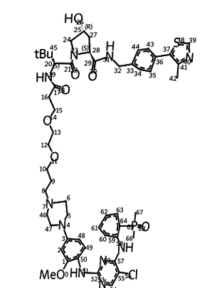 COc1cc(N2CCN(CCCOCCOCCC(=O)N[C@H](C(=O)N3C[C@H](O)C[C@H]3C(=O)NCc3ccc(-c4scnc4C)cc3)C(C)(C)C)CC2)ccc1Nc1ncc(Cl)c(Nc2ccccc2P(C)(C)=O)n1